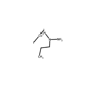 CCCN(N)N.[I][Cu][I]